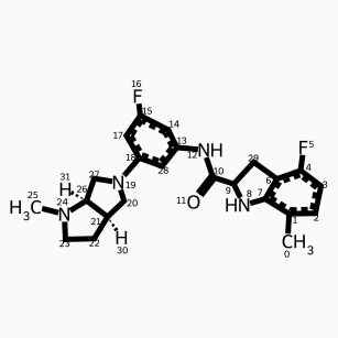 Cc1ccc(F)c2c1NC(C(=O)Nc1cc(F)cc(N3C[C@H]4CCN(C)[C@H]4C3)c1)C2